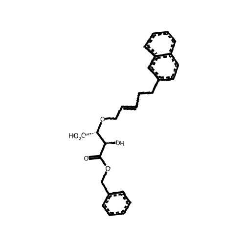 O=C(OCc1ccccc1)[C@H](O)[C@@H](OC/C=C/CCc1ccc2ccccc2c1)C(=O)O